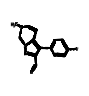 CN1C=Cc2c(-c3ccc(F)cc3)c(C=O)nn2C1